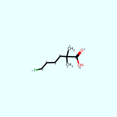 CC(C)(CCCCF)C(=O)O